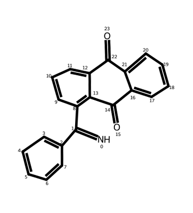 N=C(c1ccccc1)c1cccc2c1C(=O)c1ccccc1C2=O